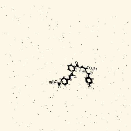 CCOC(=O)C(CNC(=O)[C@@H]1CCCN(C(=O)/C=C/C2CCN(C(=O)OC(C)(C)C)CC2)C1)NC(=O)c1ccc(C(F)(F)F)cc1